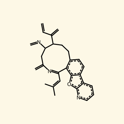 C=CC(=C)C1CCc2ccc3c(oc4ncccc43)c2/C(C=C(C)C)=N\C(=C)CC1N=C